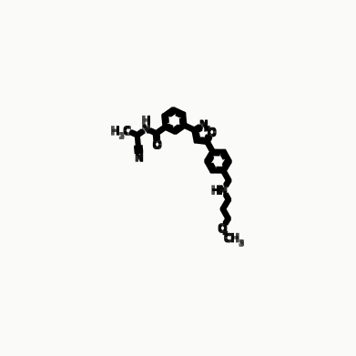 COCCCNCc1ccc(-c2cc(-c3cccc(C(=O)NC(C)C#N)c3)no2)cc1